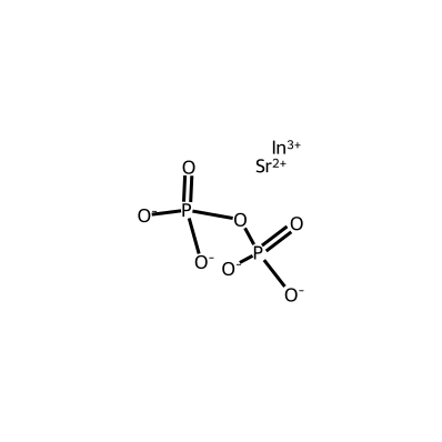 O=P([O-])([O-])OP(=O)([O-])[O-].[In+3].[Sr+2]